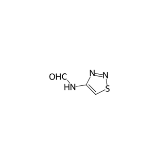 O=CNc1csnn1